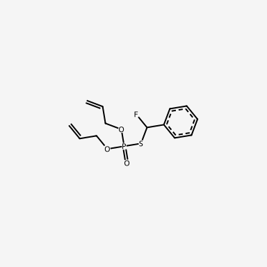 C=CCOP(=O)(OCC=C)SC(F)c1ccccc1